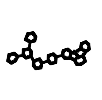 c1ccc(-c2cc(-c3ccccc3)cc(-c3cccc(-c4ccc(-c5ccc6c(c5)c5cccc7c8ccccc8n6c75)cc4)c3)c2)cc1